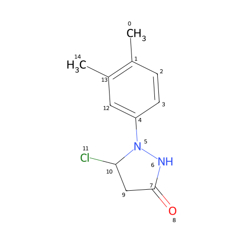 Cc1ccc(N2NC(=O)CC2Cl)cc1C